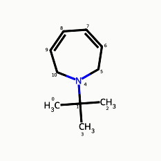 CC(C)(C)N1CC=CC=CC1